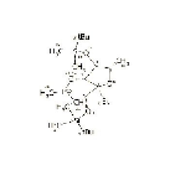 CC[C@@]1(CO[Si](C)(C)C(C)(C)C)O[C@@H](C)C(O[Si](C)(C)C(C)(C)C)[C@H]1OP(C)C